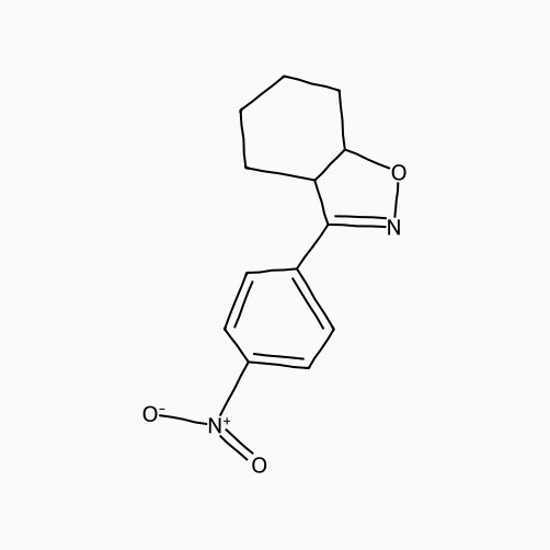 O=[N+]([O-])c1ccc(C2=NOC3CCCCC23)cc1